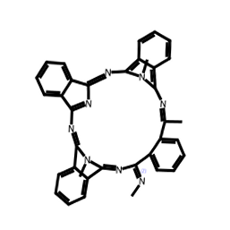 C/N=c1\nc2c3ccccc3c(nc3nc(nc4c5ccccc5c(nc(C)c5ccccc15)n4C)-c1ccccc1-3)n2C